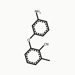 Cc1cccc(Oc2cccc(N)c2)c1C#N